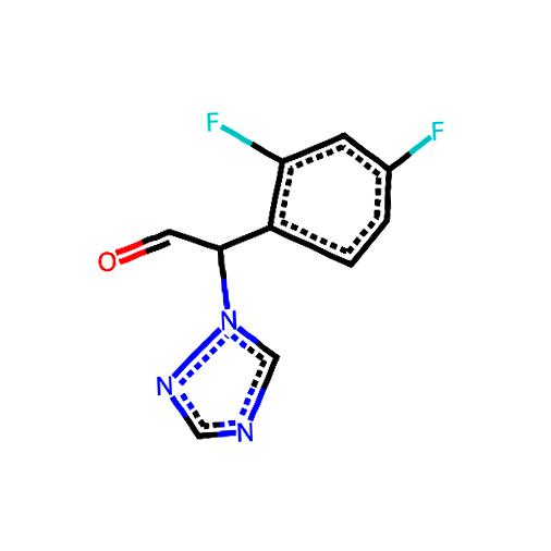 O=CC(c1ccc(F)cc1F)n1cncn1